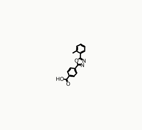 Cc1ccccc1-c1nnc(-c2ccc(C(=O)O)cc2)o1